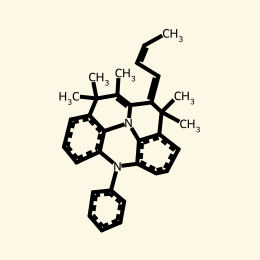 C/C=C\C=C1/C2=C(C)C(C)(C)c3cccc4c3N2c2c(cccc2C1(C)C)N4c1ccccc1